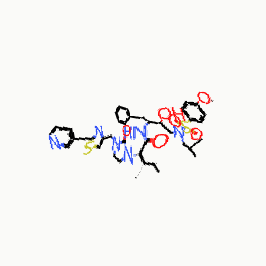 CC[C@H](C)[C@@H](C(=O)N[C@@H](Cc1ccccc1)[C@@H](O)CN(CC(C)C)S(=O)(=O)c1ccc(OC)cc1)N1CCN(Cc2csc(-c3cccnc3)n2)C1=O